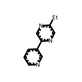 CCc1cnc(-c2cccnc2)cn1